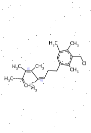 C=C(C)/C(C)=C(C)\C(C)=C/CCc1cc(C)c(C)c(CCl)c1C